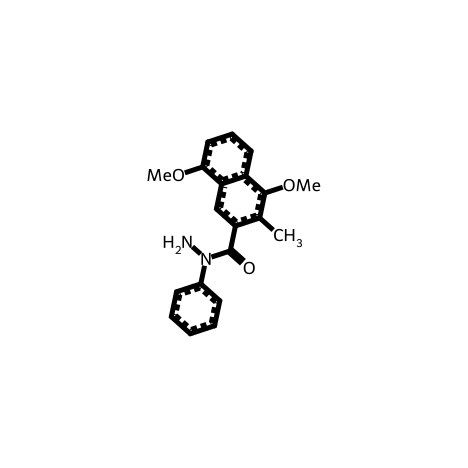 COc1cccc2c(OC)c(C)c(C(=O)N(N)c3ccccc3)cc12